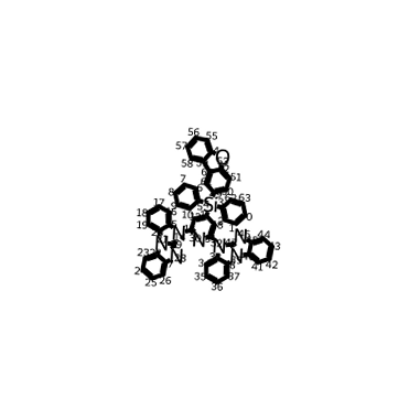 c1ccc([Si](c2ccccc2)(c2cc(-n3c4ccccc4n4c5ccccc5nc34)nc(-n3c4ccccc4n4c5ccccc5nc34)c2)c2ccc3oc4ccccc4c3c2)cc1